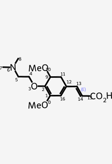 COC1=C(OCCN(C)C)C(OC)CC(/C=C/C(=O)O)=C1